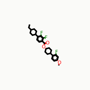 CCC1CCC(c2ccc(C(=O)OC3CCC(c4ccc(OC)cc4F)CC3)c(F)c2F)CC1